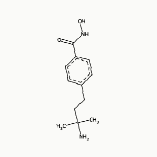 CC(C)(N)CCc1ccc(C(=O)NO)cc1